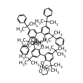 CC(C)(C)c1cc(-c2cc(C(C)(C)C)cc(C(C)(C)C)c2Op2oc3c(C(C)(C)c4ccccc4)cc(C(C)(C)c4ccccc4)cc3c3cc(C(C)(C)c4ccccc4)cc(C(C)(C)c4ccccc4)c3o2)c(OP2OCCO2)c(C(C)(C)C)c1